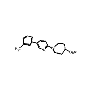 COC1CCN(c2ccc(-c3cccc(C)c3)cn2)CC1